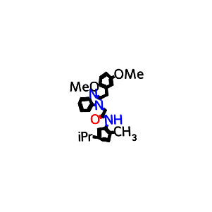 COc1ccc(OC)c(Cc2nc3ccccc3n2CC(=O)Nc2cc(C(C)C)ccc2C)c1